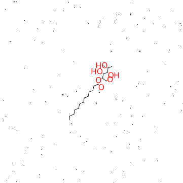 CCCCCCCCCCCCC(=O)OC(C=O)C(O)C(O)C(C)O